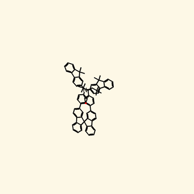 CC(C)(C)CC(c1ccc(-c2ccc3c(c2)C2(c4ccccc4-3)c3ccccc3-c3ccc(-c4ccc(N(c5ccc6c(c5)C(C)(C)c5ccccc5-6)c5ccc6c(c5)C(C)(C)c5ccccc5-6)cc4)cc32)cc1)C(C)(C)C